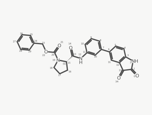 O=C1Nc2ccc(-c3cccc(NC(=O)[C@@H]4CCCN4C(=O)OCc4ccccc4)c3)cc2C1=O